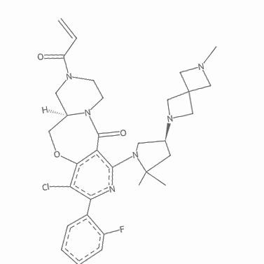 C=CC(=O)N1CCN2C(=O)c3c(N4C[C@@H](N5CC6(CN(C)C6)C5)CC4(C)C)nc(-c4ccccc4F)c(Cl)c3OC[C@H]2C1